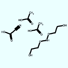 CC(=O)O.CC(=O)O.N#CC(=O)O.OCCONOCCO